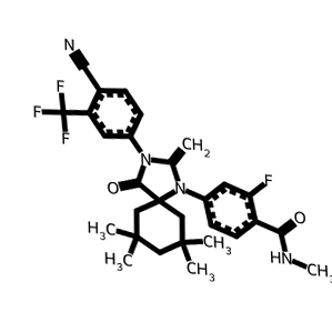 C=C1N(c2ccc(C#N)c(C(F)(F)F)c2)C(=O)C2(CC(C)(C)CC(C)(C)C2)N1c1ccc(C(=O)NC)c(F)c1